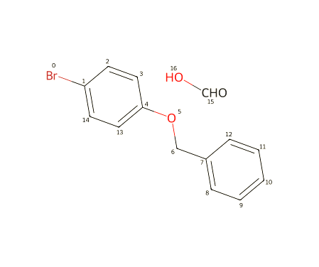 Brc1ccc(OCc2ccccc2)cc1.O=CO